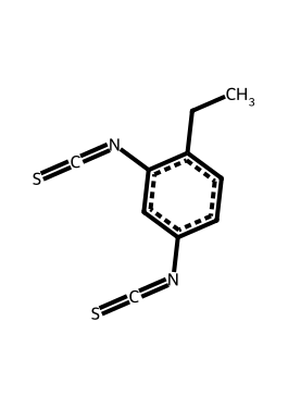 CCc1ccc(N=C=S)cc1N=C=S